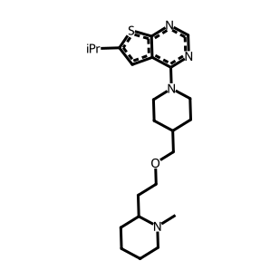 CC(C)c1cc2c(N3CCC(COCCC4CCCCN4C)CC3)ncnc2s1